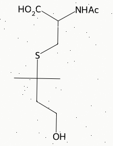 CC(=O)NC(CSC(C)(C)CCO)C(=O)O